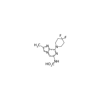 Cc1cn2cc(NC(=O)O)nc(N3CCC(F)(F)CC3)c2n1